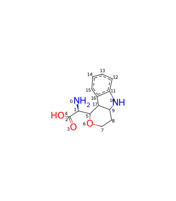 N[C@H](C(=O)O)C1OCCC2Nc3ccccc3C21